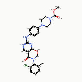 Cc1cccc(Cl)c1N1COc2nc(Nc3ccc(N4CCN(C(=O)OC(C)(C)C)CC4)cc3)ncc2C1=O